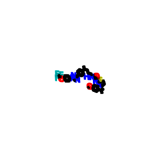 COc1ccc(C(C)C)c(N2CCCS/C2=N\C(=O)NCCCC(C)c2ccc(-c3ncn(-c4ccc(OC(F)(F)F)cc4)n3)cc2)c1